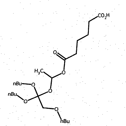 CCCCOCC(OCCCC)(OCCCC)OC(C)OC(=O)CCCCC(=O)O